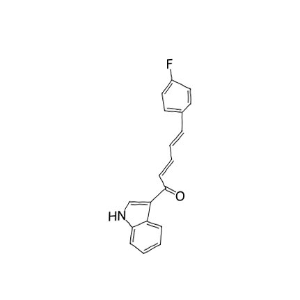 O=C(/C=C/C=C/c1ccc(F)cc1)c1c[nH]c2ccccc12